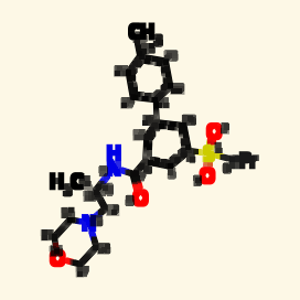 CCCS(=O)(=O)c1cc(C(=O)N[C@@H](C)CN2CCOCC2)cc(-c2ccc(C)cc2)c1